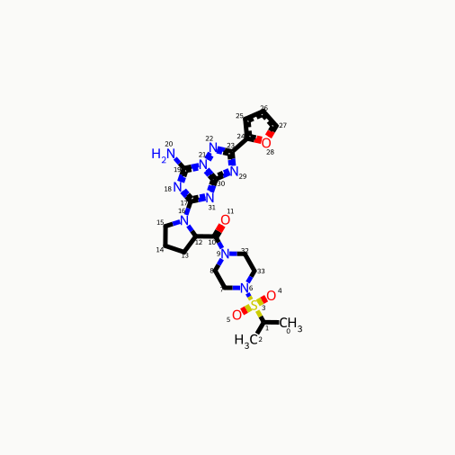 CC(C)S(=O)(=O)N1CCN(C(=O)C2CCCN2c2nc(N)n3nc(-c4ccco4)nc3n2)CC1